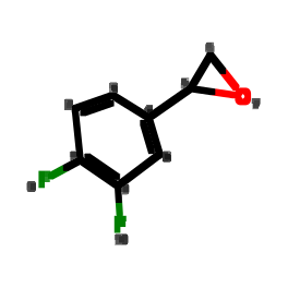 Fc1ccc(C2CO2)cc1F